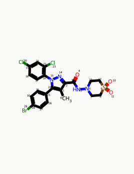 Cc1c(C(=O)NN2CCS(=O)(=O)CC2)nn(-c2ccc(Cl)cc2Cl)c1-c1ccc(Br)cc1